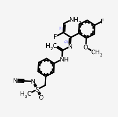 C=C(/N=C(\C(F)=C/N)c1ccc(F)cc1OC)Nc1cccc(CS(C)(=O)=NC#N)c1